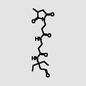 CCC(CC)(CC=O)NC(=O)CCNC(=O)CCN1C(=O)CC(C)C1=O